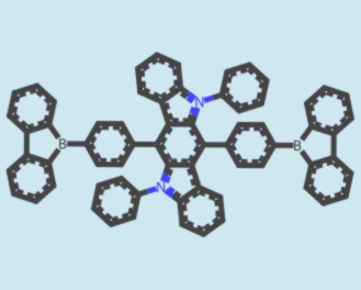 c1ccc(-n2c3ccccc3c3c(-c4ccc(B5c6ccccc6-c6ccccc65)cc4)c4c(c(-c5ccc(B6c7ccccc7-c7ccccc76)cc5)c32)c2ccccc2n4-c2ccccc2)cc1